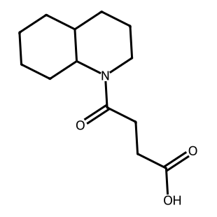 O=C(O)CCC(=O)N1CCCC2CCCCC21